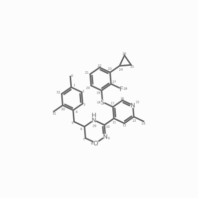 Cc1ccc(CC2CON=C(c3cc(C)ncc3Sc3cccc(C4CC4)c3F)N2)c(C)c1